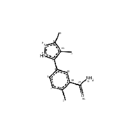 Cc1ccc(-c2[nH]nc(C)c2C)cc1C(N)=O